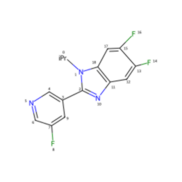 CC(C)n1c(-c2cncc(F)c2)nc2cc(F)c(F)cc21